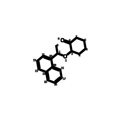 CC(OC1CCCCC1=O)c1cccc2ccccc12